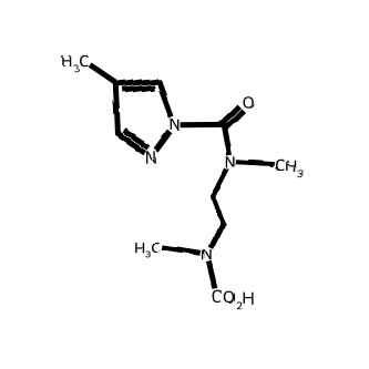 Cc1cnn(C(=O)N(C)CCN(C)C(=O)O)c1